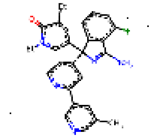 CCc1cc(C2(c3ccnc(-c4cncc(C)c4)c3)N=C(N)c3c(F)cccc32)cn(CC)c1=O